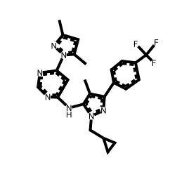 Cc1cc(C)n(-c2cc(Nc3c(C)c(-c4ccc(C(F)(F)F)cc4)nn3CC3CC3)ncn2)n1